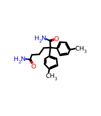 Cc1ccc(C(CCCC(N)=O)(C(N)=O)c2ccc(C)cc2)cc1